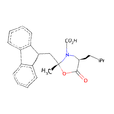 CC(C)C[C@H]1C(=O)O[C@](C)(CC2c3ccccc3-c3ccccc32)N1C(=O)O